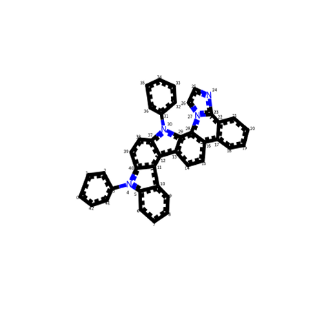 c1ccc(-n2c3ccccc3c3c4c5ccc6c7ccccc7c7nccn7c6c5n(-c5ccccc5)c4ccc32)cc1